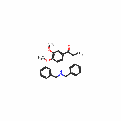 CCC(=O)c1ccc(OC)c(OC)c1.c1ccc(CNCc2ccccc2)cc1